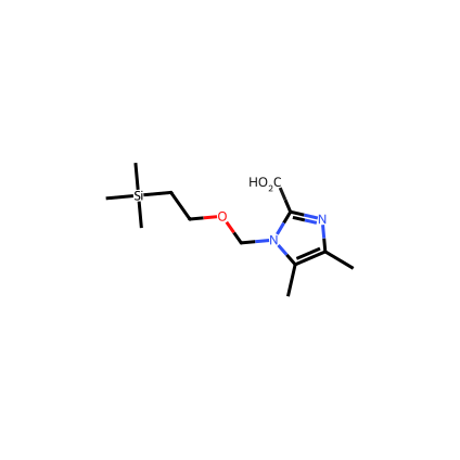 Cc1nc(C(=O)O)n(COCC[Si](C)(C)C)c1C